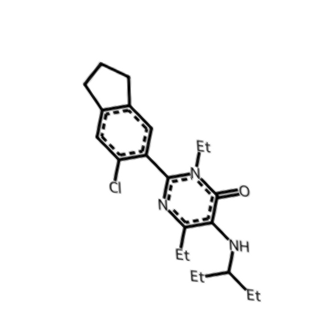 CCc1nc(-c2cc3c(cc2Cl)CCC3)n(CC)c(=O)c1NC(CC)CC